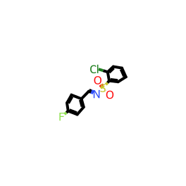 O=S(=O)(/N=C/c1ccc(F)cc1)c1ccccc1Cl